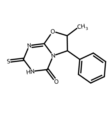 CC1Oc2nc(=S)[nH]c(=O)n2C1c1ccccc1